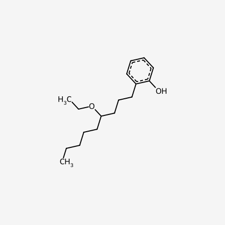 CCCCCC(CCCc1ccccc1O)OCC